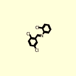 Clc1ccc(Cl)c(C=Nc2ccccc2Cl)c1